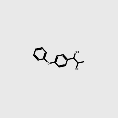 CC(O)C(O)c1ccc(Oc2ccccc2)cc1